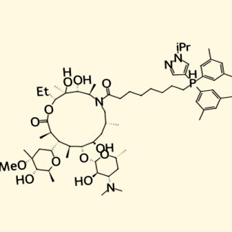 CC[C@H]1OC(=O)[C@H](C)[C@@H](C2C[C@@](C)(OC)[C@@H](O)[C@H](C)O2)[C@H](C)[C@@H](O[C@@H]2O[C@H](C)C[C@H](N(C)C)[C@H]2O)[C@H](O)C[C@@H](C)CN(C(=O)CCCCCCC[PH](c2cc(C)cc(C)c2)(c2cc(C)cc(C)c2)c2cnn(C(C)C)c2)[C@H](C)[C@@H](O)[C@]1(C)O